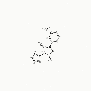 O=C1CN(c2cccc(S(=O)(=O)O)c2)C(=O)N1c1ccco1